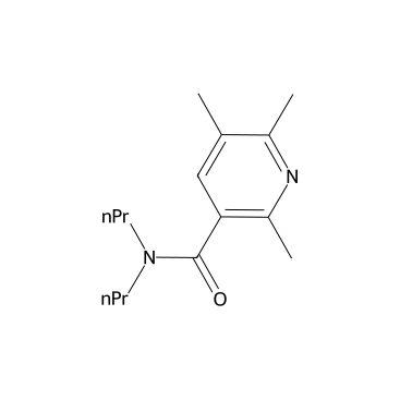 CCCN(CCC)C(=O)c1cc(C)c(C)nc1C